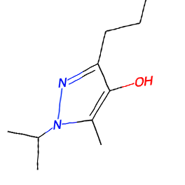 CCCc1nn(C(C)C)c(C)c1O